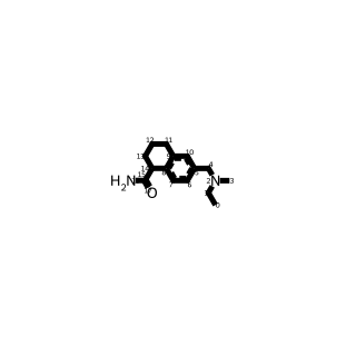 CCN(C)Cc1ccc2c(c1)CC[CH]C2C(N)=O